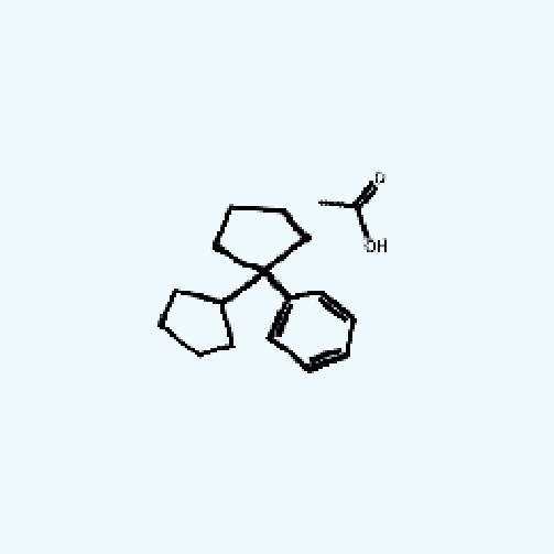 CC(=O)O.c1ccc(C2(C3CCCC3)CCCC2)cc1